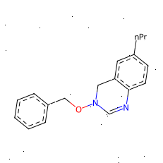 CCCc1ccc2c(c1)CN(OCc1ccccc1)C=N2